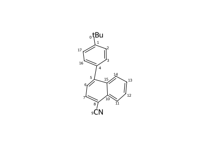 CC(C)(C)c1ccc(-c2ccc(C#N)c3ccccc23)cc1